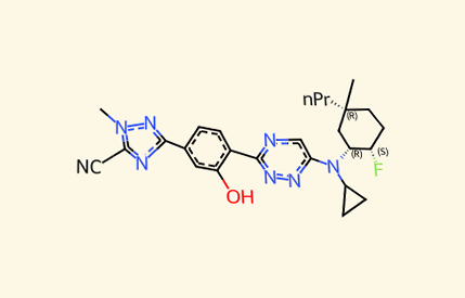 CCC[C@]1(C)CC[C@H](F)[C@H](N(c2cnc(-c3ccc(-c4nc(C#N)n(C)n4)cc3O)nn2)C2CC2)C1